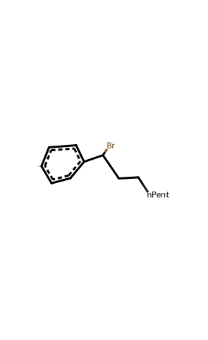 CCCCCCCC(Br)c1cc[c]cc1